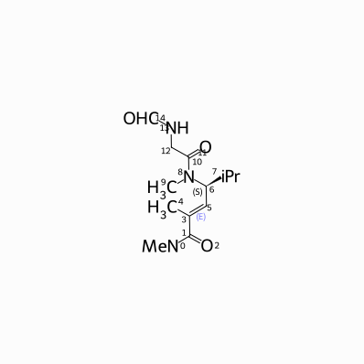 CNC(=O)/C(C)=C/[C@H](C(C)C)N(C)C(=O)CNC=O